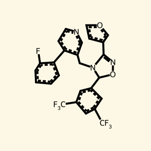 Fc1ccccc1-c1ccncc1CN1C(c2ccoc2)=NOC1c1cc(C(F)(F)F)cc(C(F)(F)F)c1